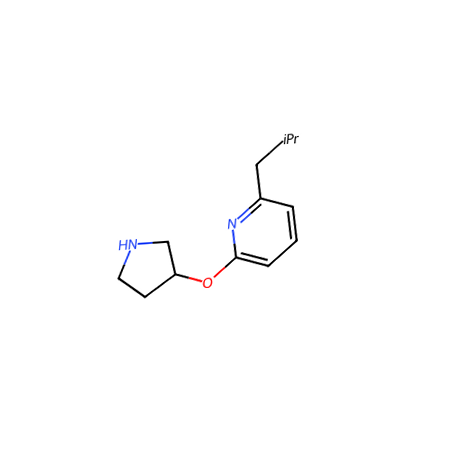 CC(C)Cc1cccc(OC2CCNC2)n1